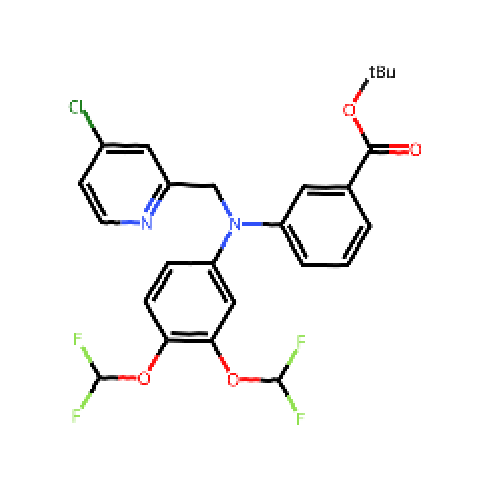 CC(C)(C)OC(=O)c1cccc(N(Cc2cc(Cl)ccn2)c2ccc(OC(F)F)c(OC(F)F)c2)c1